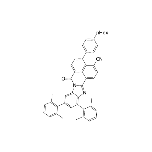 CCCCCCc1ccc(-c2ccc3c(=O)n4c5cc(-c6c(C)cccc6C)cc(-c6c(C)cccc6C)c5nc4c4ccc(C#N)c2c34)cc1